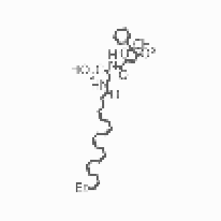 CC/C=C\C/C=C\C/C=C\C/C=C\C/C=C\C/C=C\CCC(=O)NCC(NC(=O)C1=CC(=O)C(C)(c2ccccc2)O1)C(=O)O